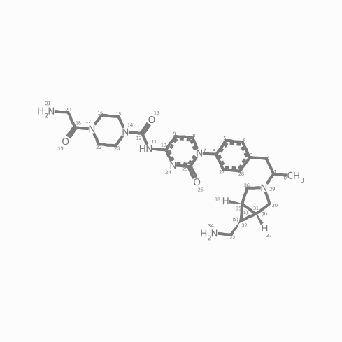 CC(Cc1ccc(-n2ccc(NC(=O)N3CCN(C(=O)CN)CC3)nc2=O)cc1)N1C[C@@H]2[C@@H](CN)[C@@H]2C1